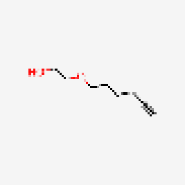 C#CCCCCOCCO